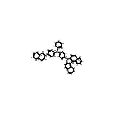 C1=Cc2ccc3c(c2CC1)c1c2ccccc2ccc1n3-c1ccc(N(c2ccccc2)c2ccc(-c3ccc4ccccc4c3)cc2)cc1